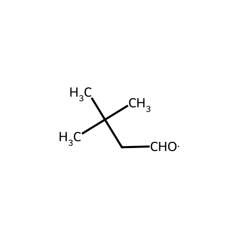 CC(C)(C)C[C]=O